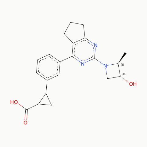 C[C@H]1[C@H](O)CN1c1nc2c(c(-c3cccc(C4CC4C(=O)O)c3)n1)CCC2